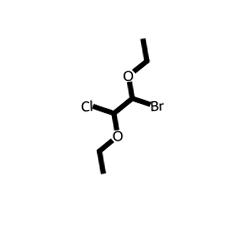 CCOC(Cl)C(Br)OCC